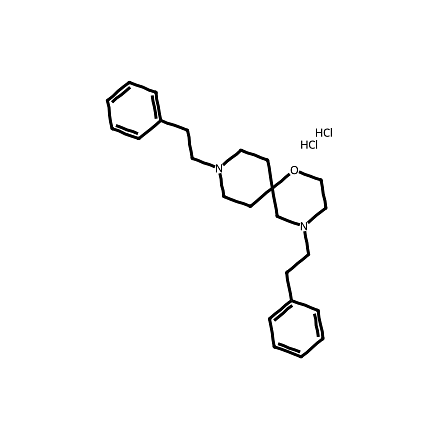 Cl.Cl.c1ccc(CCN2CCC3(CC2)CN(CCc2ccccc2)CCO3)cc1